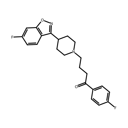 O=C(CCCN1CCC(c2noc3cc(F)ccc23)CC1)c1ccc(F)cc1